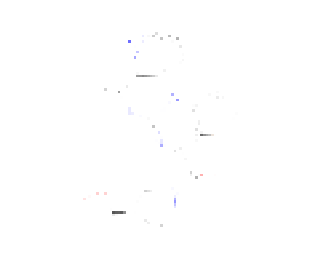 COC[C@@H]1CCN(C(=O)c2nc(NC(C)c3ccccn3)nc3ccsc23)C1